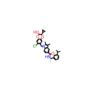 Cc1c(C)n(Cc2cc(O[C@H](C(=O)O)C3CC3)ccc2Cl)c2ccc(C(=O)N[C@@H](C)c3cccc(C(C)C)c3)cc12